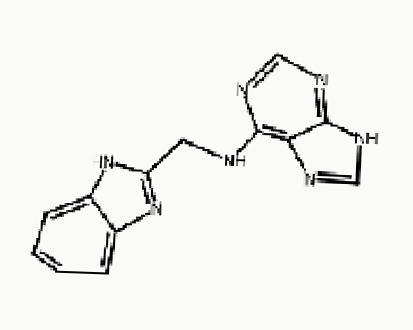 c1ccc2[nH]c(CNc3ncnc4[nH]cnc34)nc2c1